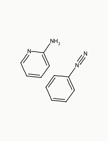 N#[N+]c1ccccc1.Nc1ccccn1